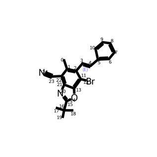 Cc1c(/C=C/c2ccccc2)c(Br)c2oc(C(C)(C)C)nc2c1C#N